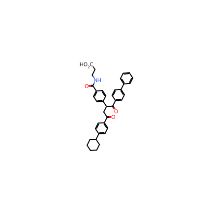 O=C(O)CCNC(=O)c1ccc(C(CC(=O)c2ccc(C3CCCCC3)cc2)C(=O)c2ccc(-c3ccccc3)cc2)cc1